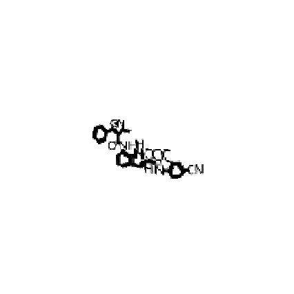 Cc1noc(-c2ccccc2)c1C(=O)Nc1cccc2cc(C(=O)Nc3ccc(C#N)cc3C(=O)O)[nH]c12